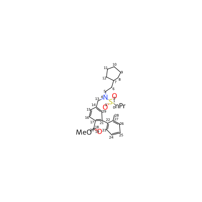 CCCS(=O)(=O)N(CCC1CCCCC1)Cc1ccc(C(=O)OC)c(-c2ccccc2C)c1